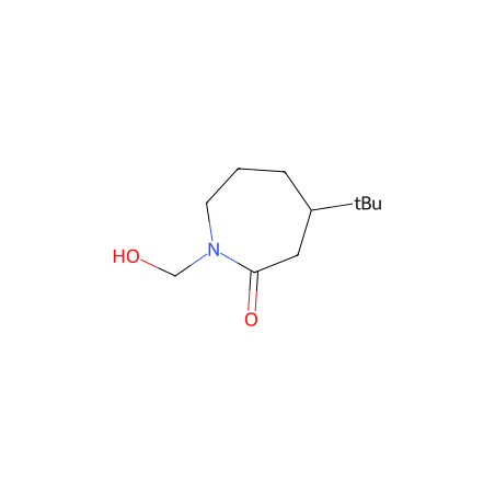 CC(C)(C)C1CCCN(CO)C(=O)C1